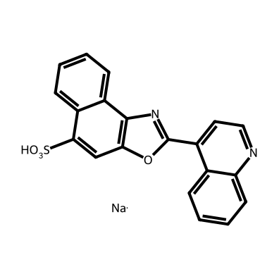 O=S(=O)(O)c1cc2oc(-c3ccnc4ccccc34)nc2c2ccccc12.[Na]